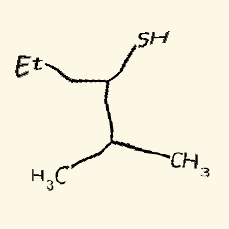 CCC(S)C(C)C